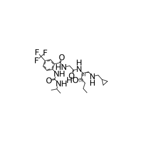 CCC[C@H](O)[C@H](CNCC1CC1)NC(=O)CNC(=O)c1cc(C(F)(F)F)ccc1NC(=O)NC(C)C